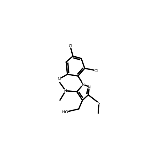 CSc1nn(-c2c(Cl)cc(Cl)cc2Cl)c(N(C)C)c1CO